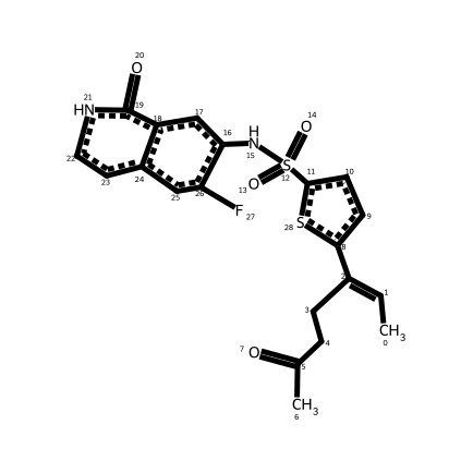 C/C=C(\CCC(C)=O)c1ccc(S(=O)(=O)Nc2cc3c(=O)[nH]ccc3cc2F)s1